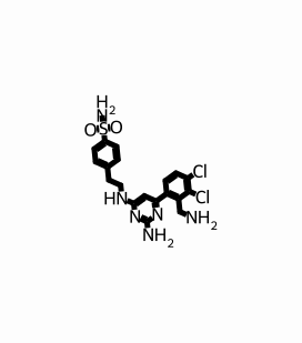 NCc1c(-c2cc(NCCc3ccc(S(N)(=O)=O)cc3)nc(N)n2)ccc(Cl)c1Cl